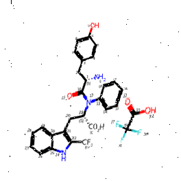 N[C@@H](Cc1ccc(O)cc1)C(=O)N(c1ccccc1)[C@@H](Cc1c(C(F)(F)F)[nH]c2ccccc12)C(=O)O.O=C(O)C(F)(F)F